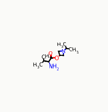 CC(C)[C@H](N)C(=O)OC1CN(C(C)C)C1